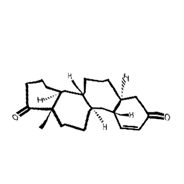 C[C@]12CC[C@@H]3[C@H]4C=CC(=O)C[C@@H]4CC[C@H]3[C@@H]1CCC2=O